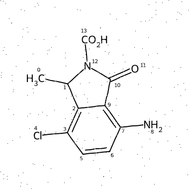 CC1c2c(Cl)ccc(N)c2C(=O)N1C(=O)O